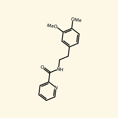 COc1ccc(CCNC(=O)c2ccccn2)cc1OC